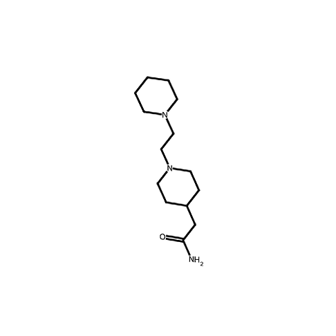 NC(=O)CC1CCN(CCN2CCCCC2)CC1